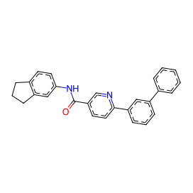 O=C(Nc1ccc2c(c1)CCC2)c1ccc(-c2cccc(-c3ccccc3)c2)nc1